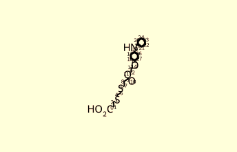 O=C(O)CCSCCSCCC(=O)OCCOc1ccc(Nc2ccccc2)cc1